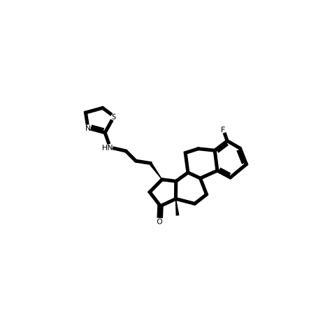 C[C@]12CCC3c4cccc(F)c4CCC3C1[C@H](CCCNC1=NCCS1)CC2=O